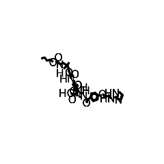 CCCCOC(=O)NCC(C)(C)COC(=O)NCCS(=O)(=O)N[C@@H](CNC(=O)c1ccc(OCCNC2=NCCCN2)cc1)C(=O)O